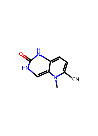 CN1C(C#N)=CC=C2NC(=O)NC=C21